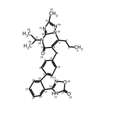 CCCc1c(Cc2ccc(-c3ccccc3-c3noc(=O)[nH]3)cc2)c(=O)n(C(C)C)c2nc(C)nn12